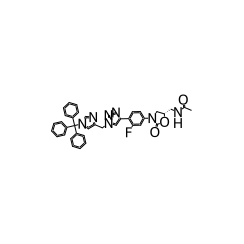 CC(=O)NC[C@H]1CN(c2ccc(-c3cn(Cc4cn(C(c5ccccc5)(c5ccccc5)c5ccccc5)cn4)nn3)c(F)c2)C(=O)O1